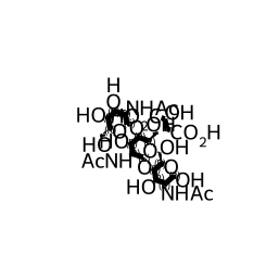 CC(=O)N[C@@H]1[C@@H](O)[C@@H](O[C@@H]2O[C@H](CO)[C@H](O[C@@H]3O[C@H](CO)[C@@H](O)[C@H](O)[C@H]3NC(C)=O)[C@H](O)[C@H]2NC(C)=O)[C@@H](CO)O[C@H]1O.O=C(O)CC(O)C(=O)O